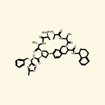 CN[C@@H](C)C(=O)NC(C(=O)N1Cc2cc([C@H]3C[C@@H](C(=O)N[C@@H](Cc4ccccc4)c4noc(C)n4)N(C(=O)[C@@H](NC(=O)[C@H](C)NC)C(C)(C)C)C3)ccc2CC1C(=O)NC1CCCc2ccccc21)C(C)(C)C